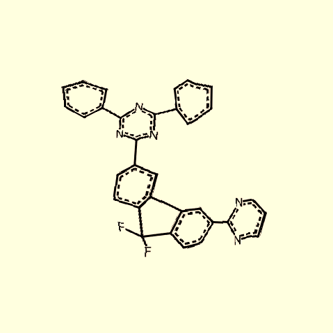 FC1(F)c2ccc(-c3ncccn3)cc2-c2cc(-c3nc(-c4ccccc4)nc(-c4ccccc4)n3)ccc21